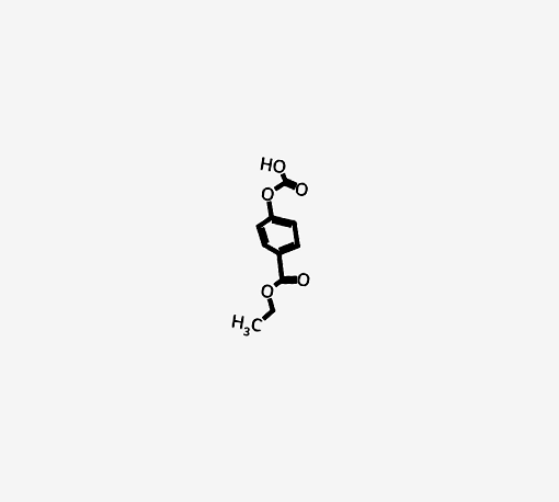 CCOC(=O)c1ccc(OC(=O)O)cc1